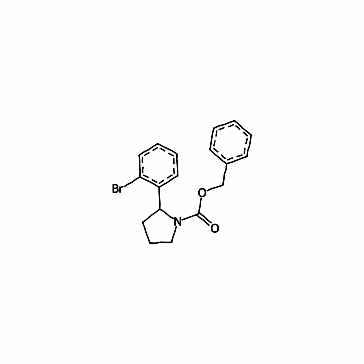 O=C(OCc1ccccc1)N1CCCC1c1ccccc1Br